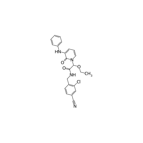 CCOC(C(=O)NCc1ccc(C#N)cc1Cl)n1cccc(Nc2ccccc2)c1=O